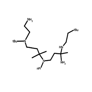 CCCN(CCC(C)(N)NCCC(C)(C)C)C(C)(C)CCN(CCN)C(C)(C)C